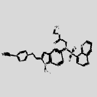 CCOC(=O)CN(c1ccc2c(c1)cc(CCc1ccc(C#N)cc1)n2C)S(=O)(=O)c1cccc2cccnc12